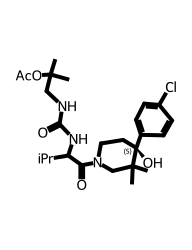 CC(=O)OC(C)(C)CNC(=O)NC(C(=O)N1CC[C@](O)(c2ccc(Cl)cc2)C(C)(C)C1)C(C)C